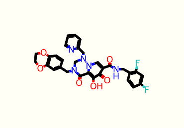 O=C(NCc1ccc(F)cc1F)c1cn2c(c(O)c1=O)C(=O)N(Cc1ccc3c(c1)OCCO3)CN2Cc1ccccn1